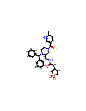 CC1C=CC(C(=O)N2CCN(C(c3ccccc3)c3ccccc3)C(CNC(=O)CC3CCS(=O)(=O)C3)C2)=CN1